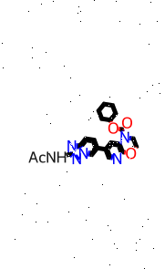 CC(=O)Nc1nc2ccc(-c3cnc4c(c3)N(C(=O)OC3CCCCC3)CCO4)cn2n1